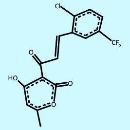 Cc1cc(O)c(C(=O)C=Cc2cc(C(F)(F)F)ccc2Cl)c(=O)o1